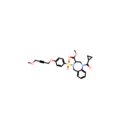 COCC#CCOc1ccc(S(=O)(=O)N2Cc3ccccc3N(C(=O)C3CC3)CC2C(=O)OC)cc1